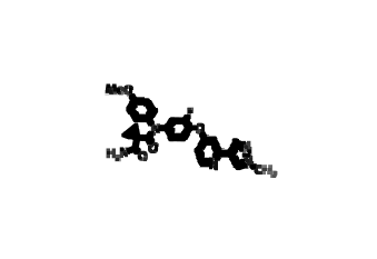 COc1ccc(N(C(=O)C2(C(N)=O)CC2)c2ccc(Oc3ccnc(-c4cnn(C)c4)c3)c(F)c2)cc1